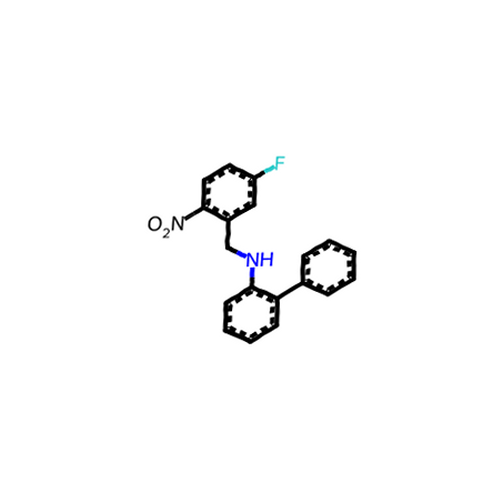 O=[N+]([O-])c1ccc(F)cc1CNc1ccccc1-c1ccccc1